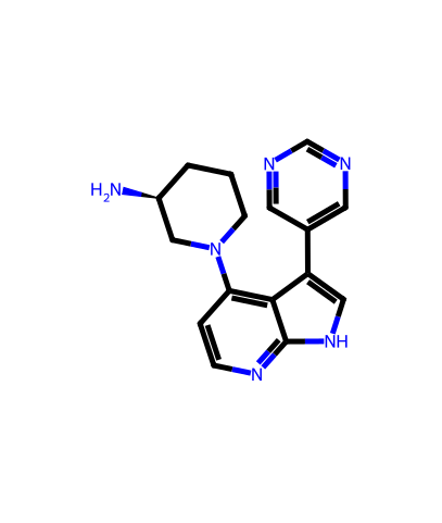 N[C@H]1CCCN(c2ccnc3[nH]cc(-c4cncnc4)c23)C1